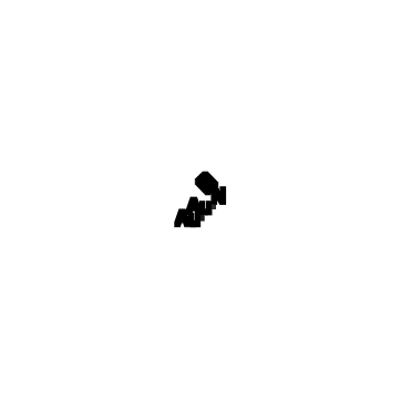 C#N.[Au].[Au]